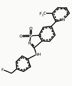 O=S1(=O)N=C(Nc2ccc(CF)cc2)c2ccc(-c3ncccc3C(F)(F)F)cc21